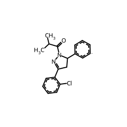 CC(C)C(=O)N1N=C(c2ccccc2Cl)CC1c1c[c]ccc1